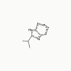 CC(C)c1nc2ccccc2[nH]1